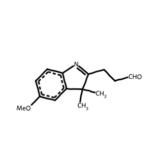 COc1ccc2c(c1)C(C)(C)C(CCC=O)=N2